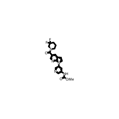 COC(=O)Nc1cncc(-n2ccc3cc(C(=O)N4CCCC(F)(F)C4)cnc32)c1